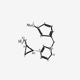 COc1cccc(CN2C=C([C@@H]3C[C@H]3N)C=CC2)c1